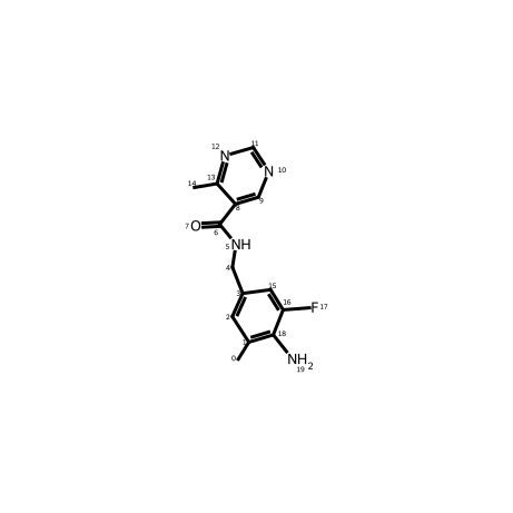 Cc1cc(CNC(=O)c2cncnc2C)cc(F)c1N